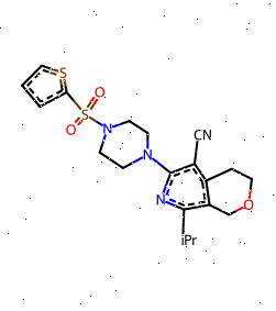 CC(C)c1nc(N2CCN(S(=O)(=O)c3cccs3)CC2)c(C#N)c2c1COCC2